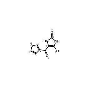 CCc1[nH]c(=O)[nH]c1C(=O)c1ccoc1